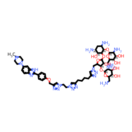 CN1CCN(c2ccc3nc(-c4ccc(OCc5cn(CCn6cc(CCCCc7cn(CC8OC(OC9[C@H](O[C@H]%10OC(CN)[C@@H](O)[C@H](O)C%10N)C(N)C[C@@H](N)[C@H]9O)[C@@H](O)[C@H]8O[C@H]8OC(CN)[C@@H](O)C(O)C8N)nn7)nn6)nn5)cc4)[nH]c3c2)CC1